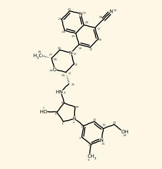 Cc1cc(N2CC(O)C(NC[C@H]3CN(c4ccc(C#N)c5ncccc45)C[C@@H](C)O3)C2)cc(CO)n1